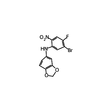 O=[N+]([O-])c1cc(F)c(Br)cc1Nc1ccc2c(c1)OCO2